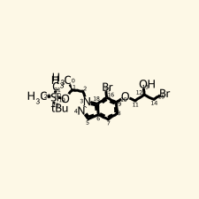 C[C@@H](Cn1ncc2ccc(OCC(O)CBr)c(Br)c21)O[Si](C)(C)C(C)(C)C